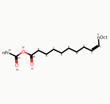 CCCCCCCC/C=C\CCCCCCCC(=O)OC(=O)CCC